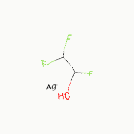 OC(F)C(F)F.[Ag]